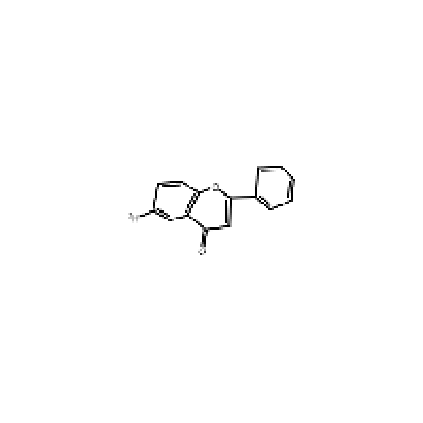 [2H]c1ccc2oc(-c3ccccc3)cc(=O)c2c1